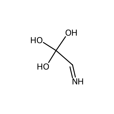 N=CC(O)(O)O